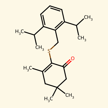 CC1=C(SCc2c(C(C)C)cccc2C(C)C)C(=O)CC(C)(C)C1